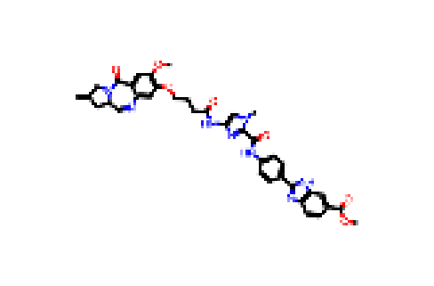 C=C1CC2C=Nc3cc(OCCCC(=O)Nc4cn(C)c(C(=O)Nc5ccc(-c6nc7ccc(C(=O)OC)cc7[nH]6)cc5)n4)c(OC)cc3C(=O)N2C1